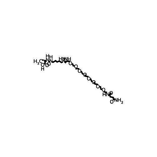 CC[C@@H](NC(=O)NCCCCCN1C=C(COCCOCCOCCOCCOCCOCCOCCOCCNC(=O)CCC(N)=O)NN1)C(=O)O